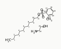 CCCCCCCCCCCCOS(=O)(=O)c1ccccc1C.NCCO